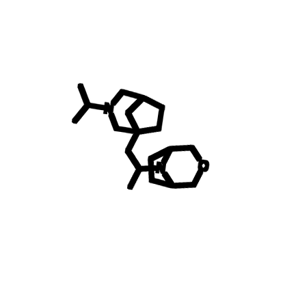 CC(C)N1CC2CCC(CC(C)N3C4CCC3COC4)(C2)C1